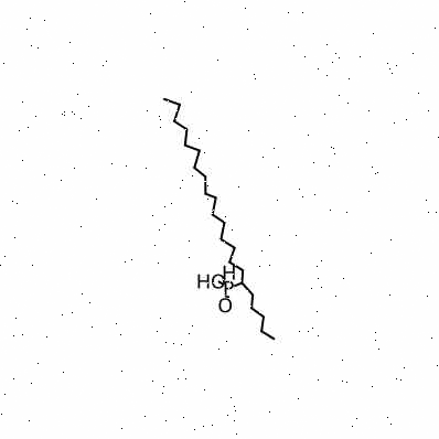 CCCCCCCCCCCCCCCCC(CCCCC)[PH](=O)O